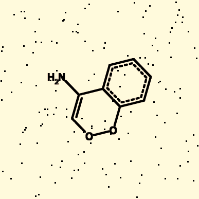 NC1=COOc2ccccc21